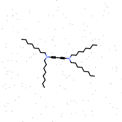 CCCCCCCCN(C#CC#CN(CCCCCCCC)CCCCCCCC)CCCCCCCC